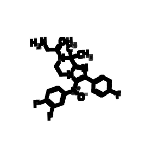 CC1(C)c2nc(-c3ccc(F)cc3)c([S+]([O-])c3ccc(F)c(F)c3)n2CCN1C(=O)CN